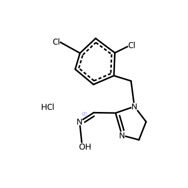 Cl.O/N=C\C1=NCCN1Cc1ccc(Cl)cc1Cl